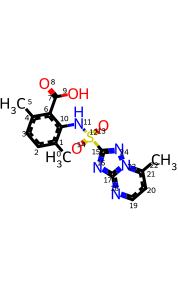 Cc1ccc(C)c(C(=O)O)c1NS(=O)(=O)c1nc2nccc(C)n2n1